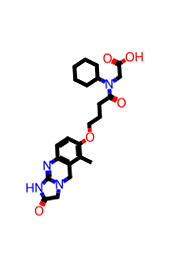 Cc1c(OCCCC(=O)N(CC(=O)O)C2CCCCC2)ccc2c1CN1CC(=O)NC1=N2